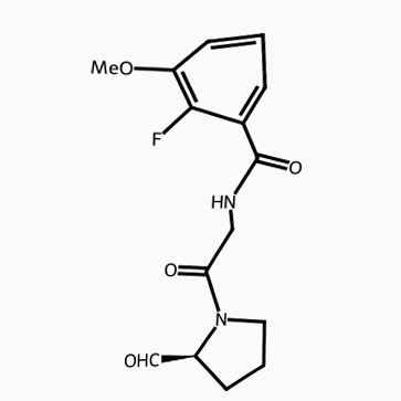 COc1cccc(C(=O)NCC(=O)N2CCC[C@H]2C=O)c1F